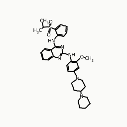 COc1cc(N2CCC(N3CCCCC3)CC2)ccc1Nc1nc(Nc2ccccc2S(=O)(=O)C(C)C)c2ccccc2n1